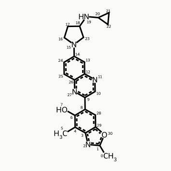 Cc1nc2c(C)c(O)c(-c3cnc4cc(N5CCC(NC6CC6)C5)ccc4n3)cc2o1